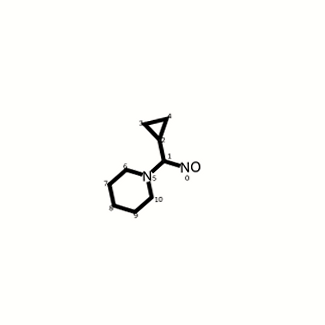 O=NC(C1CC1)N1CCCCC1